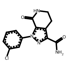 NC(=O)c1nn(-c2cccc(Cl)c2)c2c1CCNC2=O